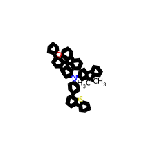 CC1(C)c2ccccc2-c2ccc(N(c3ccc(-c4cccc5c4sc4ccccc45)cc3)c3ccc4c(c3)C3(c5ccccc5-c5ccccc53)c3c-4ccc4c3oc3ccccc34)cc21